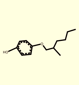 CCCCC(C)COc1ccc(O)cc1